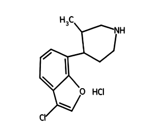 CC1CNCCC1c1cccc2c(Cl)coc12.Cl